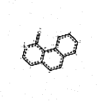 O=c1[nH]ccc2ccc3ccccc3c12